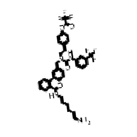 NCCCCCCNC(=O)c1ccccc1-c1cccc(CN(CCc2ccc(OC(=O)C(F)(F)F)cc2)C(=O)Nc2cccc(C(F)(F)F)c2)c1